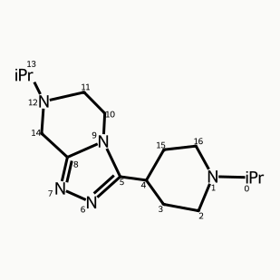 CC(C)N1CCC(c2nnc3n2CCN(C(C)C)C3)CC1